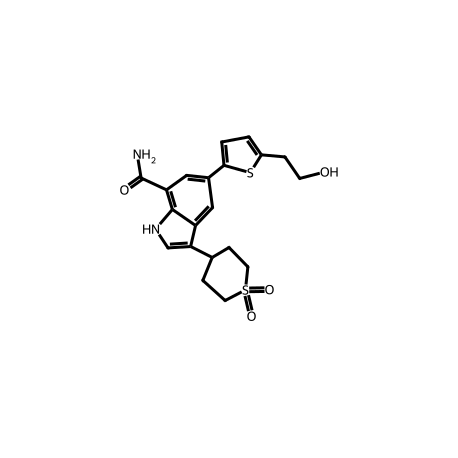 NC(=O)c1cc(-c2ccc(CCO)s2)cc2c(C3CCS(=O)(=O)CC3)c[nH]c12